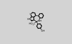 O=C(O)C1(c2ccc(O)cc2)Nc2ccccc2-c2ccnc3[nH]cc1c23